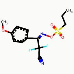 CCCS(=O)(=O)ON=C(c1ccc(OC)cc1)C(F)(F)C#N